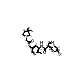 Cc1ncc(NC(=O)CN2CCC(C)(C)C2)cc1NC(=O)c1cnn2cc(Br)sc12